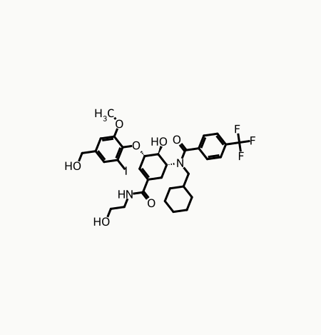 COc1cc(CO)cc(I)c1O[C@H]1C=C(C(=O)NCCO)C[C@@H](N(CC2CCCCC2)C(=O)c2ccc(C(F)(F)F)cc2)[C@@H]1O